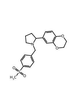 CS(=O)(=O)c1ccc(CN2CCCC2c2ccc3c(c2)OCCO3)cc1